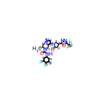 C[C@H]1Cn2ncc(N3CC(c4nnc(C(F)(F)F)o4)CC3=O)c2CN1C(=O)Nc1cc(F)c(F)c(F)c1